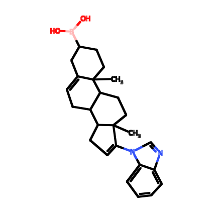 CC12CCC(B(O)O)CC1=CCC1C2CCC2(C)C(n3cnc4ccccc43)=CCC12